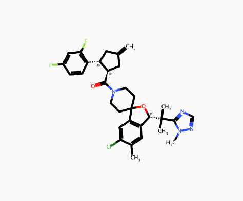 C=C1C[C@@H](C(=O)N2CCC3(CC2)O[C@H](C(C)(C)c2ncnn2C)c2cc(C)c(Cl)cc23)[C@H](c2ccc(F)cc2F)C1